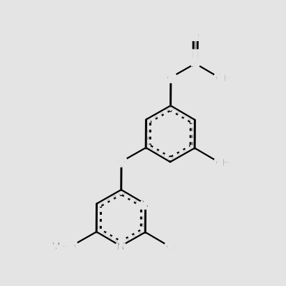 COc1cc(Oc2cc(C)cc(O[PH](=O)O)c2)nc(C)n1